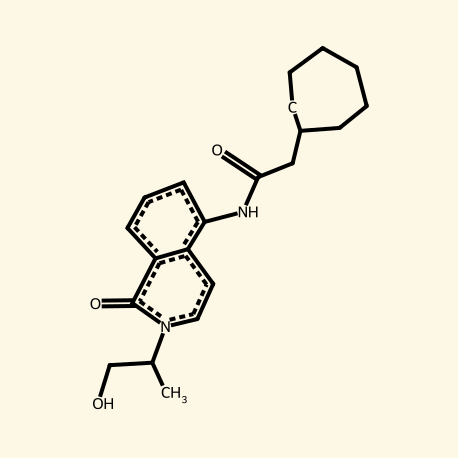 CC(CO)n1ccc2c(NC(=O)CC3CCCCCC3)cccc2c1=O